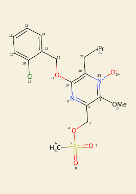 COc1c(COS(C)(=O)=O)nc(OCc2ccccc2Cl)c(CC(C)C)[n+]1[O-]